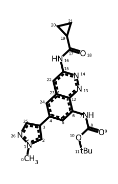 Cn1cc(-c2cc(NC(=O)OC(C)(C)C)c3nnc(NC(=O)C4CC4)cc3c2)cn1